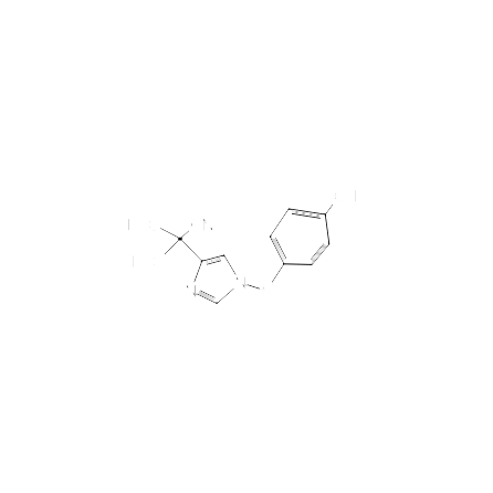 Cc1ccc(Sn2cnc(C(C)(C)C#N)c2)cc1